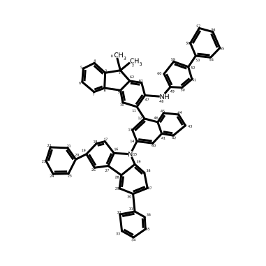 CC1(C)c2ccccc2-c2cc(-c3cc(-n4c5ccc(-c6ccccc6)cc5c5cc(-c6ccccc6)ccc54)cc4ccccc34)c(Nc3ccc(-c4ccccc4)cc3)cc21